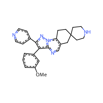 COc1cccc(-c2c(-c3ccncc3)nn3c4c(cnc23)CC2(CCNCC2)CC4)c1